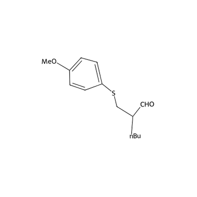 CCCCC(C=O)CSc1ccc(OC)cc1